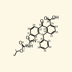 CCOC(=O)Nc1nc2cc(C(=O)c3c(Cc4ccccc4)cccc3C(=O)O)ccc2o1